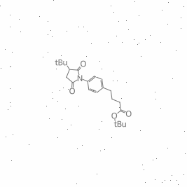 CC(C)(C)OC(=O)CCCc1ccc(N2C(=O)CC(C(C)(C)C)C2=O)cc1